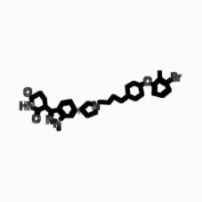 Cc1c(Br)cccc1OC1CCC(CCCCN2CC[C@H](c3ccc4c(C5CCC(=O)NC5=O)nn(C)c4c3)C2)CC1